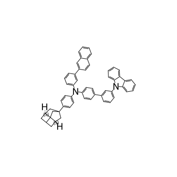 c1cc(-c2ccc3ccccc3c2)cc(N(c2ccc(-c3cccc(-n4c5ccccc5c5ccccc54)c3)cc2)c2ccc(C34C[C@@H]5CC6C[C@@H](C3)C65C4)cc2)c1